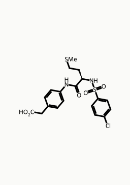 CSCC[C@@H](NS(=O)(=O)c1ccc(Cl)cc1)C(=O)Nc1ccc(CC(=O)O)cc1